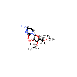 CCC[SiH2]OC(C)(C)C1OC(n2ccc(N)nc2=O)C(O)C1O[Si](C)(C)CCC